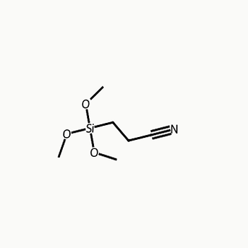 CO[Si](CCC#N)(OC)OC